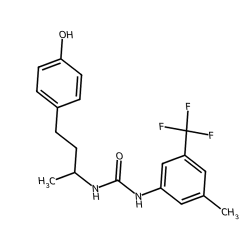 Cc1cc(NC(=O)NC(C)CCc2ccc(O)cc2)cc(C(F)(F)F)c1